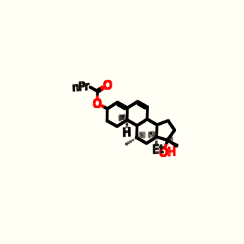 CCCC(=O)OC1C=C2C=CC3C([C@@H](C)C[C@@]4(CC)C3CC[C@]4(C)O)[C@H]2CC1